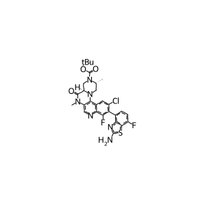 C[C@@H]1CN2c3c(cnc4c(F)c(-c5ccc(F)c6sc(N)nc56)c(Cl)cc34)N(C)C(=O)[C@H]2CN1C(=O)OC(C)(C)C